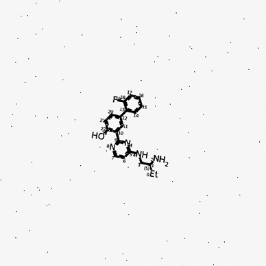 CC[C@H](N)CNc1ccnc(-c2cc(-c3ccccc3F)ccc2O)n1